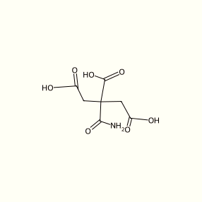 NC(=O)C(CC(=O)O)(CC(=O)O)C(=O)O